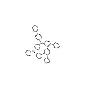 c1ccc(-c2ccc(N(c3ccc(-c4ccccc4)cc3)c3ccc4c(c3)c3c(-c5ccccc5-c5ccccc5)cccc3n4-c3ccccc3)cc2)cc1